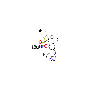 Cc1c(CC(C)C)sc(S(=O)(=O)NC(C)(C)C)c1-c1ccc(Cn2ccnc2C(F)(F)F)cc1